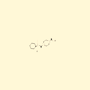 COC(=O)N1CCN(C(=O)NC2(OC=O)CCCCC2)CC1